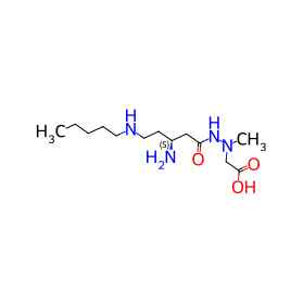 CCCCCNCC[C@H](N)CC(=O)NN(C)CC(=O)O